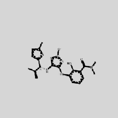 C=C(C)[C@@H](Nc1n[s+]([O-])nc1Nc1cccc(C(=O)N(C)C)c1O)c1ccc(C)s1